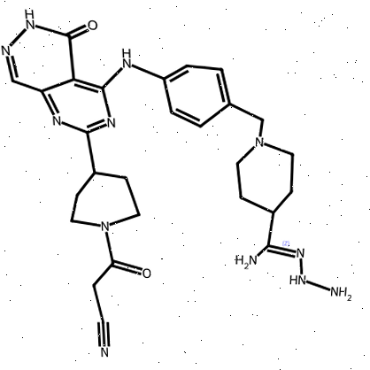 N#CCC(=O)N1CCC(c2nc(Nc3ccc(CN4CCC(/C(N)=N/NN)CC4)cc3)c3c(=O)[nH]ncc3n2)CC1